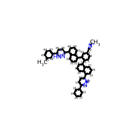 C[N+]#Cc1ccc(-c2cccc3c(-c4ccc(-c5ccccc5)nn4)cccc23)c(-c2cccc3c(C(=N)/C=C\C(=N)C4=CC=CC(C)C4)cccc23)c1